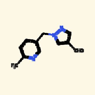 O=Cc1cnn(Cc2ccc(C(F)(F)F)nc2)c1